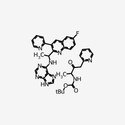 CC(NC(=O)OC(C)(C)C)C(=O)Cc1ccccn1.CC(Nc1ncnc2[nH]cnc12)c1nc2ccc(F)cc2cc1-c1ccccn1